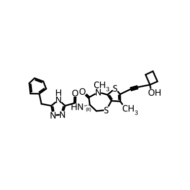 Cc1c(C#CC2(O)CCC2)sc2c1SC[C@H](NC(=O)c1nnc(Cc3ccccc3)[nH]1)C(=O)N2C